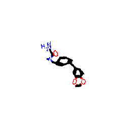 CN(Cc1cccc(-c2ccc3c(c2)OCCO3)c1)C(=O)CN